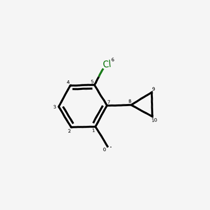 [CH2]c1cccc(Cl)c1C1CC1